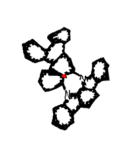 c1ccc(-n2c3ccccc3c3ccc4c5ccccc5n(-c5cc6c7ccccc7c7ccccc7c6cn5)c4c32)cc1